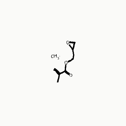 C=C(C)C(=O)OCC1CO1.[CH3]